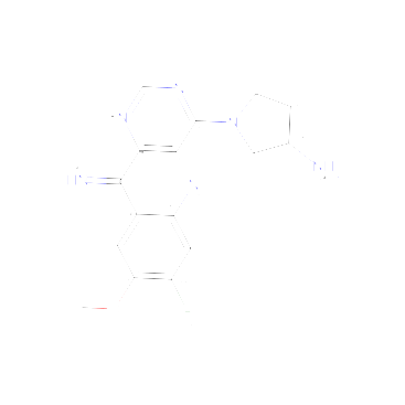 CC(C)Oc1cc(C(=N)c2cc(N3CCC(N)C3)ncn2)c(N)cc1F